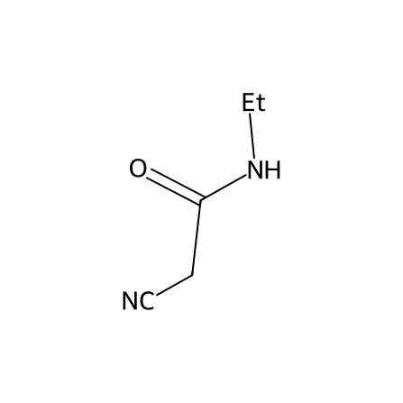 [CH2]CNC(=O)CC#N